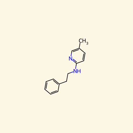 Cc1ccc(NCCc2ccccc2)nc1